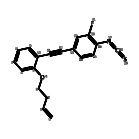 C=CCCOc1ccccc1C#Cc1ccc(N=C=S)c(F)c1